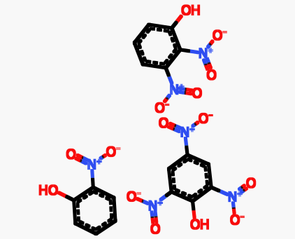 O=[N+]([O-])c1cc([N+](=O)[O-])c(O)c([N+](=O)[O-])c1.O=[N+]([O-])c1cccc(O)c1[N+](=O)[O-].O=[N+]([O-])c1ccccc1O